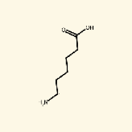 N[CH]CCCCC(=O)O